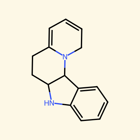 C1=CCN2C(=C1)CCC1Nc3ccccc3C12